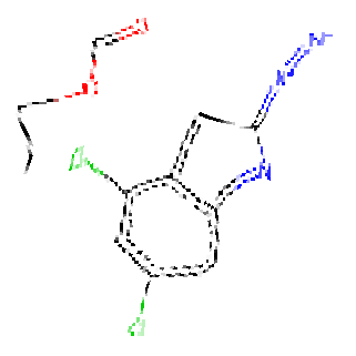 CCOC=O.[N-]=[N+]=C1C=c2c(Cl)cc(Cl)cc2=N1